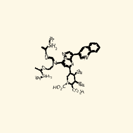 CC(C)[SiH2]C(C)OCN(COC(C)[SiH2]C(C)C)c1cc(C2CN(C(=O)O)C(C(=O)O)C(C(C)(C)C)C2C(C)(C)C)nc2c(-c3cnc4ccccc4c3)cnn12